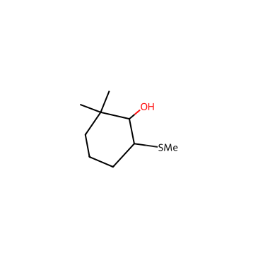 CSC1CCCC(C)(C)C1O